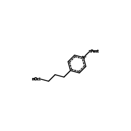 CCCCCCCCCCCc1cc[n+](CCCCC)cc1